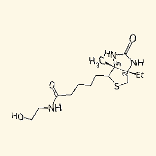 CC[C@@]12CSC(CCCCC(=O)NCCO)[C@]1(C)NC(=O)N2